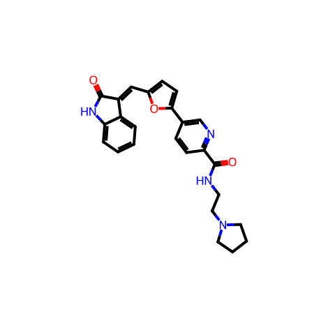 O=C1Nc2ccccc2/C1=C\c1ccc(-c2ccc(C(=O)NCCN3CCCC3)nc2)o1